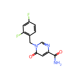 NC(=O)c1cc(=O)n(Cc2ccc(F)cc2F)cn1